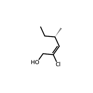 CC[C@H](C)/C=C(/Cl)CO